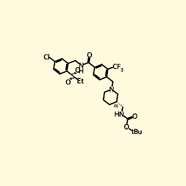 CCS(=O)(=O)c1ccc(Cl)cc1CNC(=O)c1ccc(CN2CCC[C@@H](CNC(=O)OC(C)(C)C)C2)c(C(F)(F)F)c1